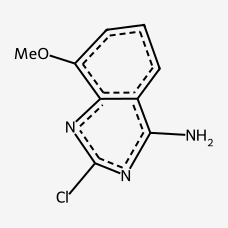 COc1cccc2c(N)nc(Cl)nc12